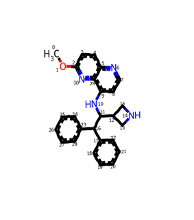 COc1ccc2nccc(NC(C3CNC3)C(c3ccccc3)c3ccccc3)c2n1